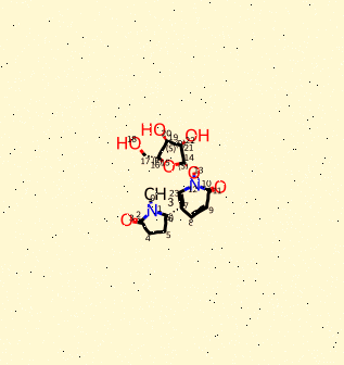 CN1C(=O)CC[C@H]1c1ccc(=O)n(O[C@@H]2O[C@H](CO)[C@@H](O)[C@H]2O)c1